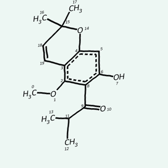 COc1c2c(cc(O)c1C(=O)C(C)C)OC(C)(C)C=C2